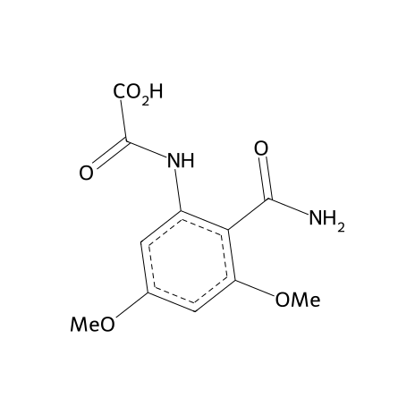 COc1cc(NC(=O)C(=O)O)c(C(N)=O)c(OC)c1